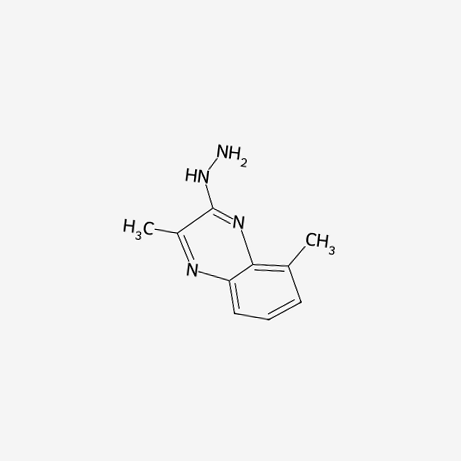 Cc1nc2cccc(C)c2nc1NN